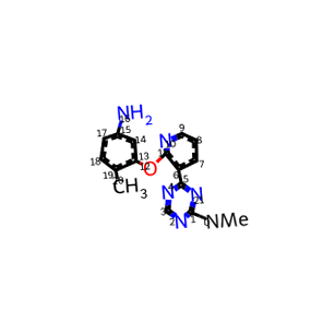 CNc1ncnc(-c2cccnc2Oc2cc(N)ccc2C)n1